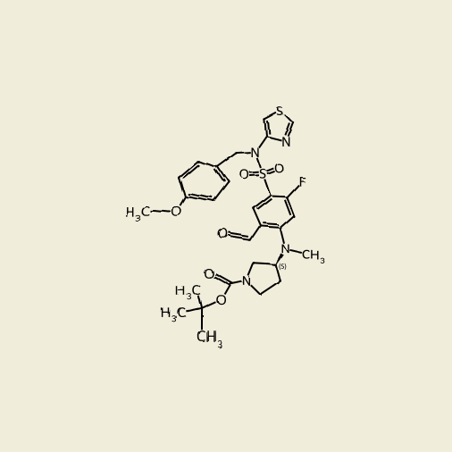 COc1ccc(CN(c2cscn2)S(=O)(=O)c2cc(C=O)c(N(C)[C@H]3CCN(C(=O)OC(C)(C)C)C3)cc2F)cc1